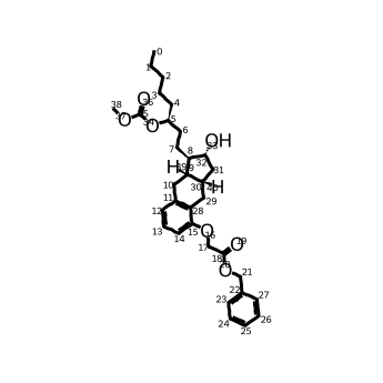 CCCCC[C@@H](CC[C@@H]1[C@H]2Cc3cccc(OCC(=O)OCc4ccccc4)c3C[C@H]2C[C@H]1O)OC(=O)OC